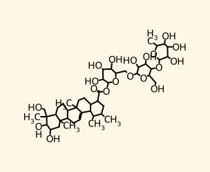 CC1CC(C(=O)OC2OC(COC3OC(CO)C(OC4OC(C)C(O)C(O)C4O)C(O)C3O)C(O)C(O)C2O)C2CCC3(C)C(=CCC4C3CCC3C(C)(CO)C(O)C(O)CC43C)C2C1C